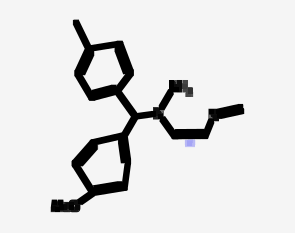 C=N/C=C\N(N)C(c1ccc(C)cc1)c1ccc(OC)cc1